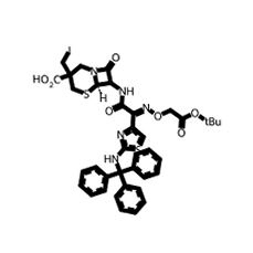 CC(C)(C)OC(=O)CON=C(C(=O)NC1C(=O)N2CC(CI)(C(=O)O)CS[C@H]12)c1csc(NC(c2ccccc2)(c2ccccc2)c2ccccc2)n1